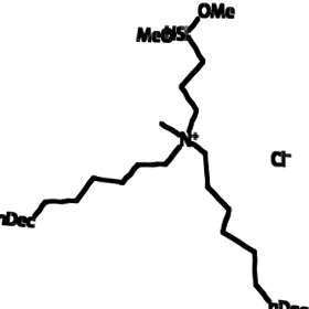 CCCCCCCCCCCCCCCC[N+](C)(CCCCCCCCCCCCCCCC)CCC[SiH](OC)OC.[Cl-]